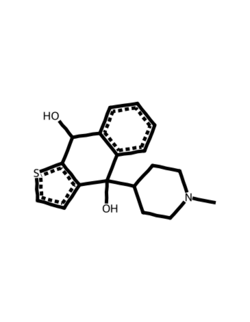 CN1CCC(C2(O)c3ccccc3C(O)c3sccc32)CC1